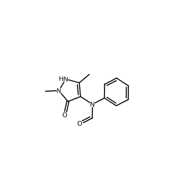 Cc1[nH]n(C)c(=O)c1N(C=O)c1ccccc1